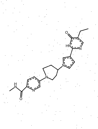 CCc1cnc(-c2ccn(C3CCN(c4ccc(C(=O)NC)nc4)CC3)c2)[nH]c1=O